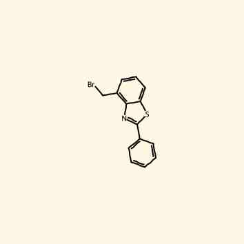 BrCc1cccc2sc(-c3ccccc3)nc12